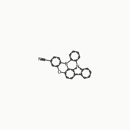 N#Cc1ccc2c(c1)Oc1ccc3c4ccccc4n4c3c1B2c1ccccc1-4